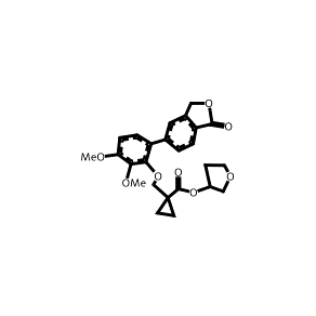 COc1ccc(-c2ccc3c(c2)COC3=O)c(OCC2(C(=O)OC3CCOC3)CC2)c1OC